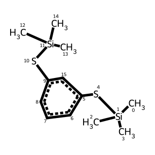 C[Si](C)(C)Sc1cccc(S[Si](C)(C)C)c1